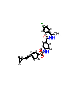 CC(NC(=O)C1CCC(NS(=O)(=O)c2ccc(C#CC3CC3)cc2)CC1)c1ccc(F)cc1